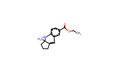 CCOC(=O)c1ccc2c(c1)C=C1CCCC1(C)N2